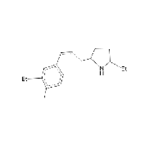 CCc1cc(/C=C\CC2CCC(CC)N2)ccc1C